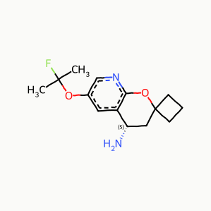 CC(C)(F)Oc1cnc2c(c1)[C@@H](N)CC1(CCC1)O2